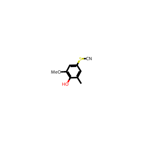 COc1cc(SC#N)cc(C)c1O